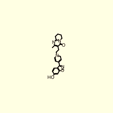 Cc1nc2n(c(=O)c1CCN1C=CC(c3noc4cc(O)ccc34)=CC1)CCCC2